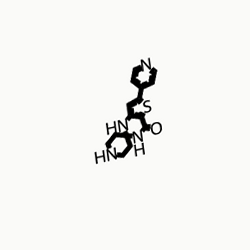 O=C1NC2(CCNCC2)Nc2cc(-c3ccncc3)sc21